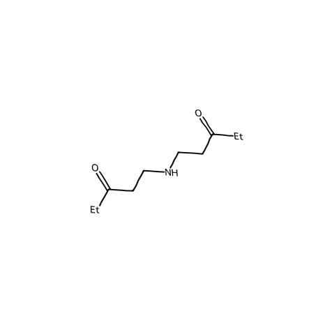 CCC(=O)CCNCCC(=O)CC